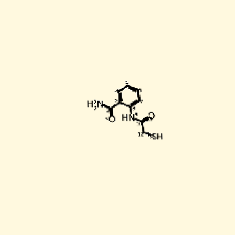 NC(=O)c1ccccc1NC(=O)CS